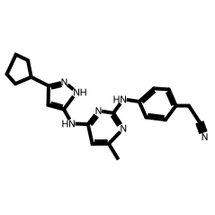 Cc1cc(Nc2cc(C3CCCC3)n[nH]2)nc(Nc2ccc(CC#N)cc2)n1